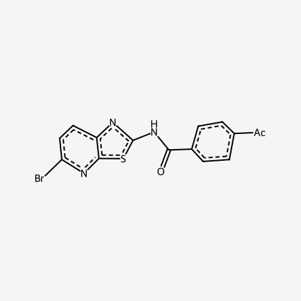 CC(=O)c1ccc(C(=O)Nc2nc3ccc(Br)nc3s2)cc1